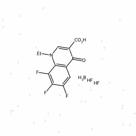 B.CCn1cc(C(=O)O)c(=O)c2cc(F)c(F)c(F)c21.F.F